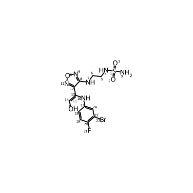 NS(=O)(=O)NCCNc1nonc1/C(=C/O)Nc1ccc(F)c(Br)c1